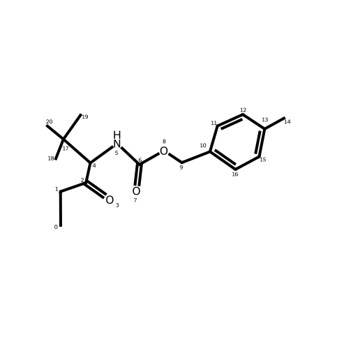 CCC(=O)C(NC(=O)OCc1ccc(C)cc1)C(C)(C)C